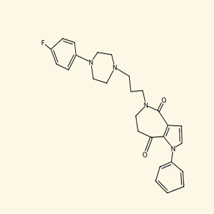 O=C1CCN(CCCN2CCN(c3ccc(F)cc3)CC2)C(=O)c2ccn(-c3ccccc3)c21